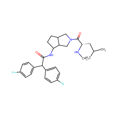 CN[C@@H](CC(C)C)C(=O)N1CC2CCC(NC(=O)C(c3ccc(F)cc3)c3ccc(F)cc3)C2C1